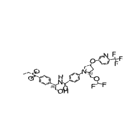 CCS(=O)(=O)c1ccc([C@H](CO)NC(=O)c2ccc(N3CC(Oc4ccc(C(F)(F)F)nc4)C[C@H]3COC(F)F)cc2)cc1